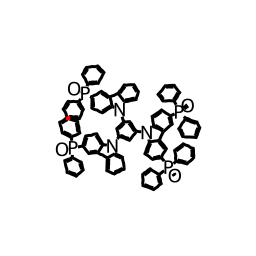 O=P(c1ccccc1)(c1ccccc1)c1ccc2c(c1)c1ccccc1n2-c1cc(-n2c3ccccc3c3cc(P(=O)(c4ccccc4)c4ccccc4)ccc32)cc(-n2c3ccc(P(=O)(c4ccccc4)c4ccccc4)cc3c3cc(P(=O)(c4ccccc4)c4ccccc4)ccc32)c1